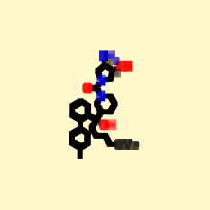 COCCCC[C@@](O)(c1ccccc1-c1ccc(C)cc1)C1CCCN(C(=O)N2C[C@@H](N)[C@@H](O)C2)C1